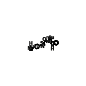 CCCCC(Cc1c[nH]c2ccccc12)NC(=O)c1cnc(N2CCN(c3ccn[nH]3)CC2)s1